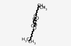 CC(C)CCCCCCCCOC(=O)OC1CCC(OC(=O)OCCCCCCC(C)C)CC1